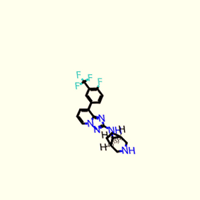 Fc1ccc(-c2cccn3nc(N[C@@H]4[C@@H]5CC[C@H]4CNC5)nc23)cc1C(F)(F)F